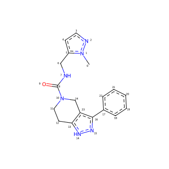 Cn1nccc1CNC(=O)N1CCc2[nH]nc(-c3ccccc3)c2C1